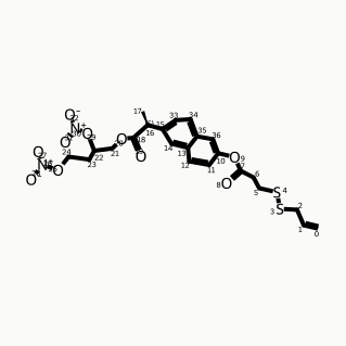 C=CCSSCCC(=O)Oc1ccc2cc([C@H](C)C(=O)OCC(CCO[N+](=O)[O-])O[N+](=O)[O-])ccc2c1